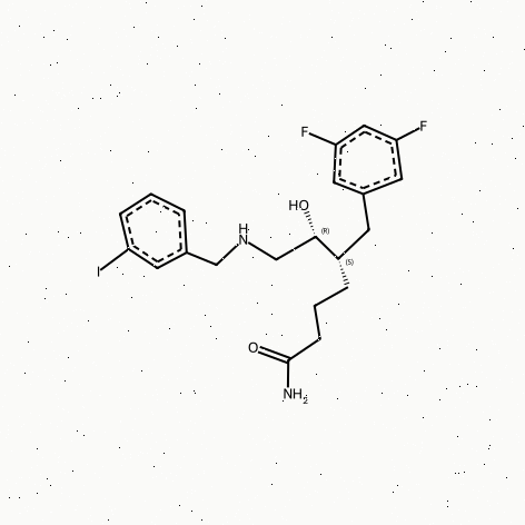 NC(=O)CCC[C@@H](Cc1cc(F)cc(F)c1)[C@@H](O)CNCc1cccc(I)c1